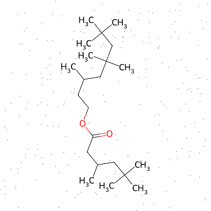 CC(CC(=O)OCCC(C)CC(C)(C)CC(C)(C)C)CC(C)(C)C